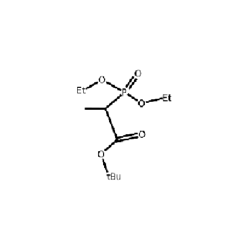 CCOP(=O)(OCC)C(C)C(=O)OC(C)(C)C